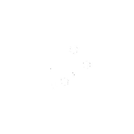 O=C(O)CCCCN(Cc1ccc(C(=O)O)cc1)C1CCc2cccc(OCc3ccccc3)c2C1